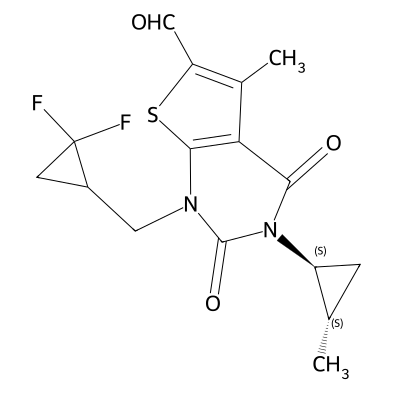 Cc1c(C=O)sc2c1c(=O)n([C@H]1C[C@@H]1C)c(=O)n2CC1CC1(F)F